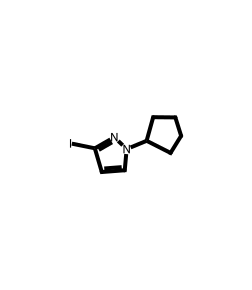 Ic1ccn(C2CCCC2)n1